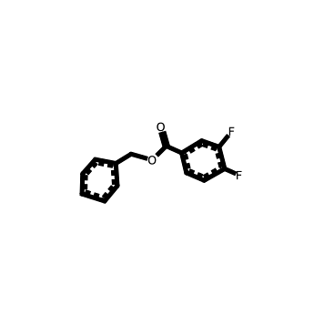 O=C(OCc1ccccc1)c1ccc(F)c(F)c1